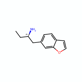 CC[C@@H](N)Cc1ccc2ccoc2c1